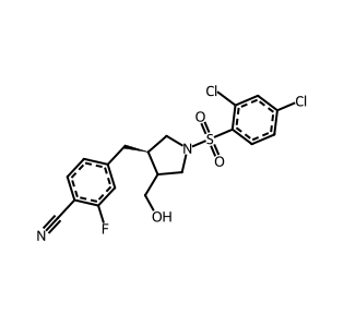 N#Cc1ccc(C[C@H]2CN(S(=O)(=O)c3ccc(Cl)cc3Cl)CC2CO)cc1F